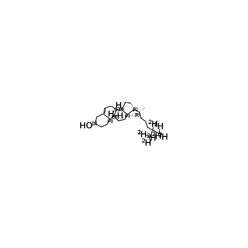 [2H]C([2H])([2H])C([2H])(CCC[C@@H](C)[C@H]1CC[C@H]2[C@@H]3CC=C4C[C@@H](O)CC[C@]4(C)[C@H]3CC[C@]12C)C([2H])([2H])[2H]